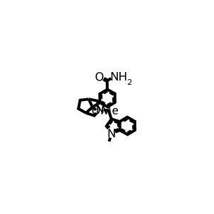 COC1(c2cccc(C(N)=O)c2)C2CCC1CN(Cc1cn(C)c3ccccc13)C2